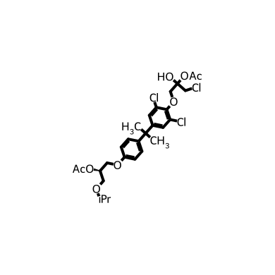 CC(=O)O[C@@H](COc1ccc(C(C)(C)c2cc(Cl)c(OCC(O)(CCl)OC(C)=O)c(Cl)c2)cc1)COC(C)C